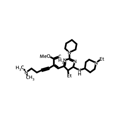 C=C(OC)/C(C#CCCN(C)C)=C\C1=NC(N2CCCCC2)=NC(NC2CCN(CC)CC2)C1CC